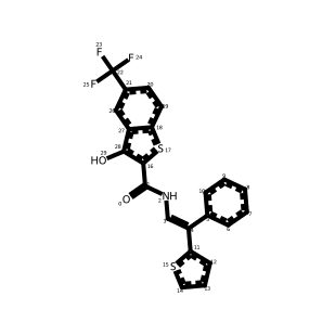 O=C(N/C=C(\c1ccccc1)c1cccs1)c1sc2ccc(C(F)(F)F)cc2c1O